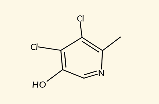 Cc1ncc(O)c(Cl)c1Cl